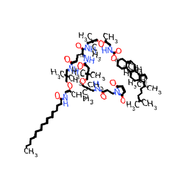 CCCCCCCCCCCCCCCC(=O)NCC(C)OCC(C)(C)CNC(=O)CC[C@H](NC(=O)CC(C)(C)COCC(C)(C)CNC(=O)CCN1C(=O)C=CC1=O)C(=O)NCC(C)(C)COC(C)CNC(=O)O[C@H]1CC[C@@]2(C)C(=CC[C@H]3[C@@H]4CC[C@H]([C@H](C)CCCC(C)C)[C@@]4(C)CC[C@@H]32)C1